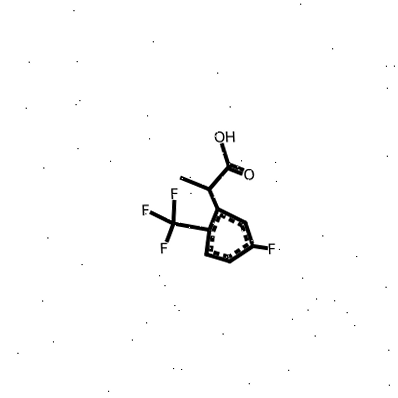 CC(C(=O)O)c1cc(F)ccc1C(F)(F)F